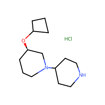 C1CC(O[C@@H]2CCCN(C3CCNCC3)C2)C1.Cl